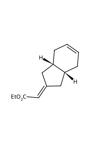 CCOC(=O)C=C1C[C@H]2CC=CC[C@H]2C1